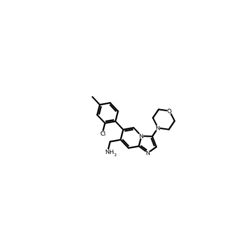 Cc1ccc(-c2cn3c(N4CCOCC4)cnc3cc2CN)c(Cl)c1